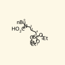 CCCCN(CCC[Si](OCC)(OCC)OCC)C(=O)O